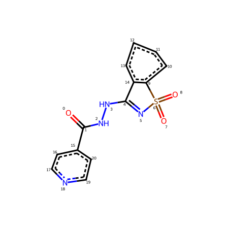 O=C(NNC1=NS(=O)(=O)c2ccccc21)c1ccncc1